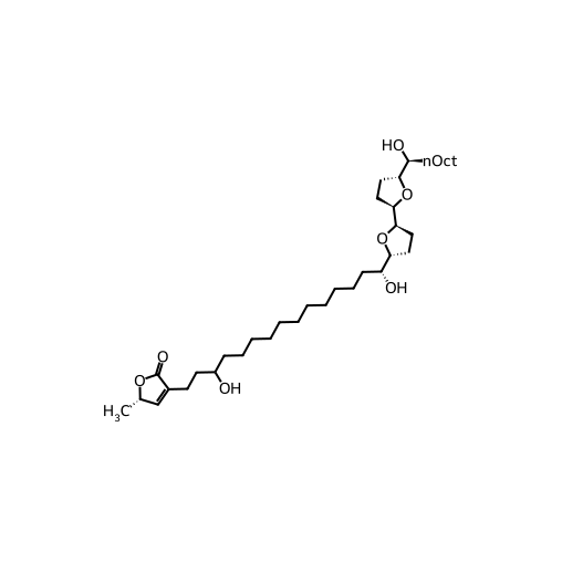 CCCCCCCC[C@H](O)[C@H]1CC[C@H]([C@H]2CC[C@H]([C@H](O)CCCCCCCCCCCC(O)CCC3=C[C@H](C)OC3=O)O2)O1